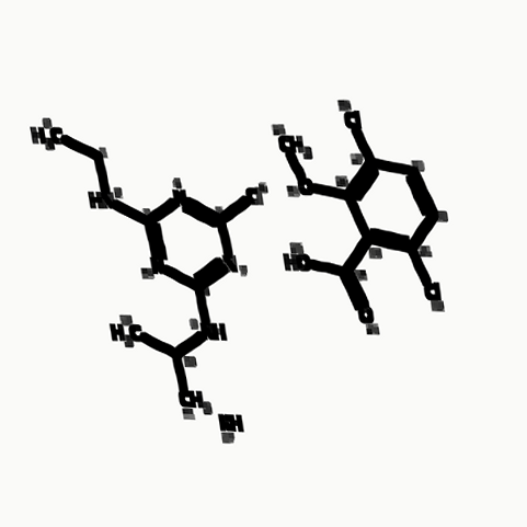 CCNc1nc(Cl)nc(NC(C)C)n1.COc1c(Cl)ccc(Cl)c1C(=O)O.[KH]